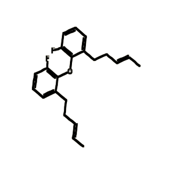 CC=CCCc1cccc(F)c1Oc1c(F)cccc1CCC=CC